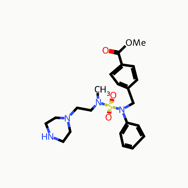 COC(=O)c1ccc(CN(c2ccccc2)S(=O)(=O)N(C)CCN2CCNCC2)cc1